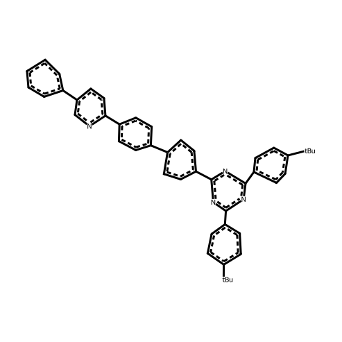 CC(C)(C)c1ccc(-c2nc(-c3ccc(-c4ccc(-c5ccc(-c6ccccc6)cn5)cc4)cc3)nc(-c3ccc(C(C)(C)C)cc3)n2)cc1